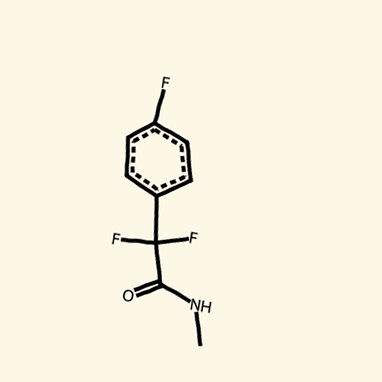 CNC(=O)C(F)(F)c1ccc(F)cc1